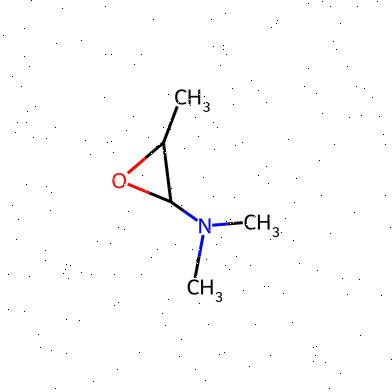 CC1OC1N(C)C